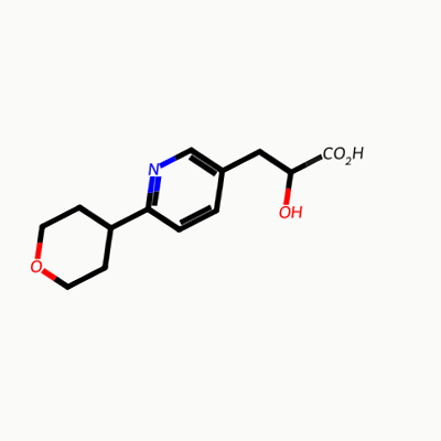 O=C(O)C(O)Cc1ccc(C2CCOCC2)nc1